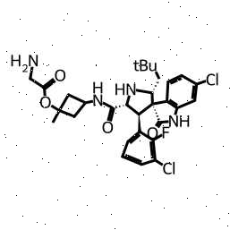 CC(C)(C)C[C@H]1N[C@@H](C(=O)NC2CC(C)(OC(=O)CN)C2)[C@H](c2cccc(Cl)c2F)[C@@]12C(=O)Nc1cc(Cl)ccc12